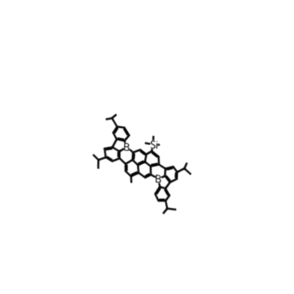 Cc1cc2c3c(cc4c([Si](C)(C)C)cc5c6c(cc1c3c46)B1c3ccc(C(C)C)cc3-c3cc(C(C)C)cc-5c31)B1c3ccc(C(C)C)cc3-c3cc(C(C)C)cc-2c31